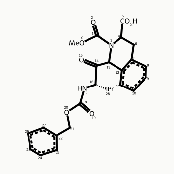 COC(=O)N1C(C(=O)O)Cc2ccccc2C1C(=O)[C@@H](NC(=O)OCc1ccccc1)C(C)C